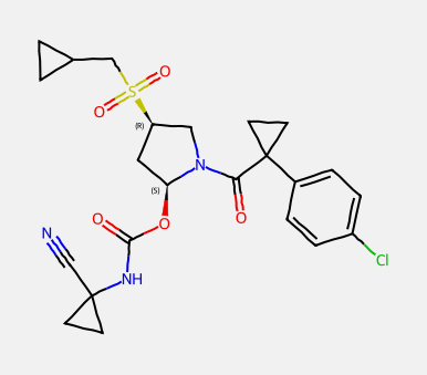 N#CC1(NC(=O)O[C@H]2C[C@@H](S(=O)(=O)CC3CC3)CN2C(=O)C2(c3ccc(Cl)cc3)CC2)CC1